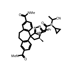 CNC(=O)c1ccc2c(c1)CCc1cc(C(=O)NC)ccc1C2(C[C@H](C)NCC(=O)N(C(C)C#N)C1CC1)c1nnc(C(C)C)o1